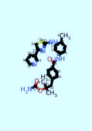 Cc1ccc(NC(=O)c2ccc(CC(C)(C)OC(N)=O)cc2)cc1Nc1nc(-c2cccnc2)cs1